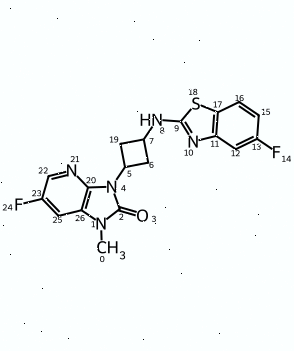 Cn1c(=O)n(C2CC(Nc3nc4cc(F)ccc4s3)C2)c2ncc(F)cc21